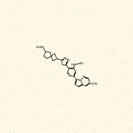 CC(=O)NC1CCC2(C1)CN(c1nnc(-c3cnc(-c4ccc5cc(C#N)cnn45)cc3NC(C)C)s1)C2